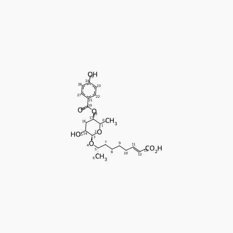 CC1O[C@@H](O[C@@H](C)CCCC/C=C/C(=O)O)C(O)C[C@H]1OC(=O)c1ccc(O)cc1